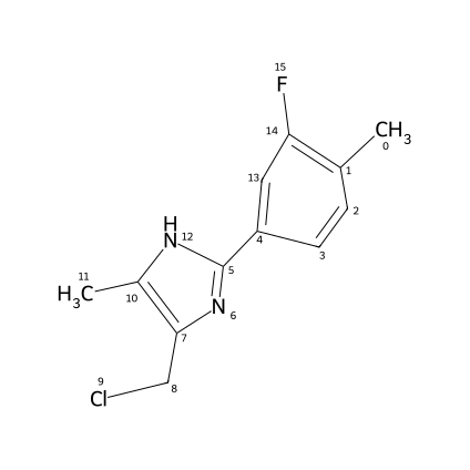 Cc1ccc(-c2nc(CCl)c(C)[nH]2)cc1F